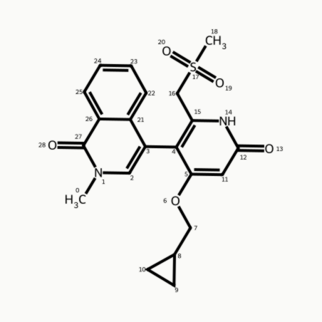 Cn1cc(-c2c(OCC3CC3)cc(=O)[nH]c2CS(C)(=O)=O)c2ccccc2c1=O